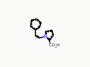 O=C(O)c1cccn1/C=C\c1ccccc1